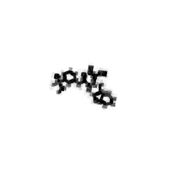 CN=S(C)(=O)c1cccc(CC(=O)N[C@@H](Cc2coc3ccccc23)B(O)O)c1